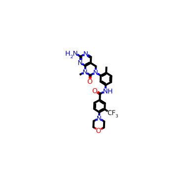 Cc1ccc(NC(=O)c2ccc(N3CCOCC3)c(C(F)(F)F)c2)cc1N1Cc2cnc(N)nc2N(C)C1=O